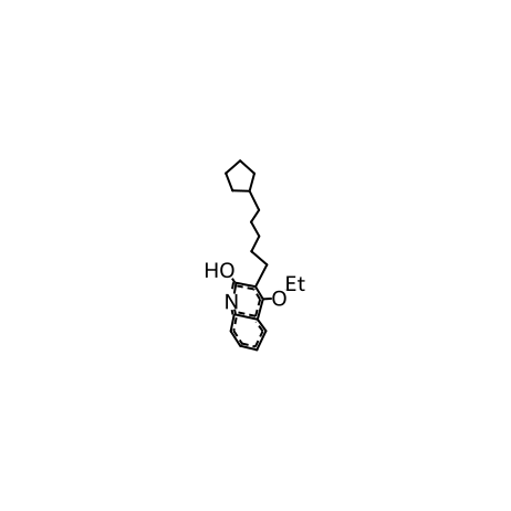 CCOc1c(CCCCCC2CCCC2)c(O)nc2ccccc12